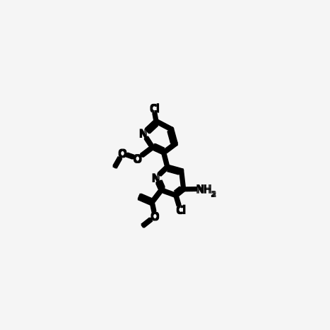 C=C(OC)c1nc(-c2ccc(Cl)nc2OOC)cc(N)c1Cl